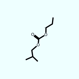 CC[CH]OC(=O)OCC(C)C